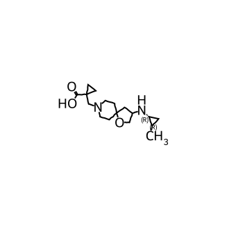 C[C@@H]1C[C@H]1NC1COC2(CCN(CC3(C(=O)O)CC3)CC2)C1